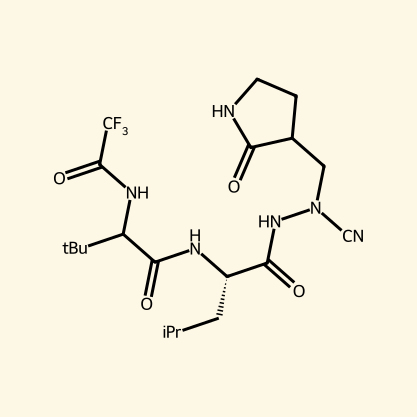 CC(C)C[C@H](NC(=O)C(NC(=O)C(F)(F)F)C(C)(C)C)C(=O)NN(C#N)CC1CCNC1=O